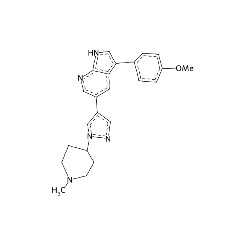 COc1ccc(-c2c[nH]c3ncc(-c4cnn(C5CCN(C)CC5)c4)cc23)cc1